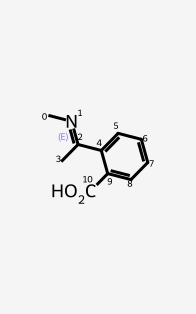 C/N=C(\C)c1ccccc1C(=O)O